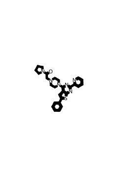 O=C(CN1CCN(c2nc(-c3ccccn3)nc3sc(-c4ccccc4)cc23)CC1)N1CCCC1